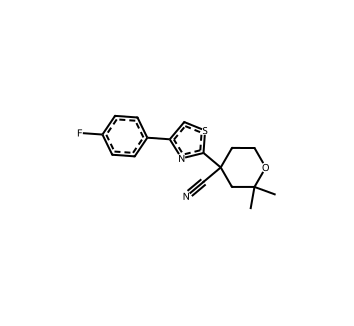 CC1(C)CC(C#N)(c2nc(-c3ccc(F)cc3)cs2)CCO1